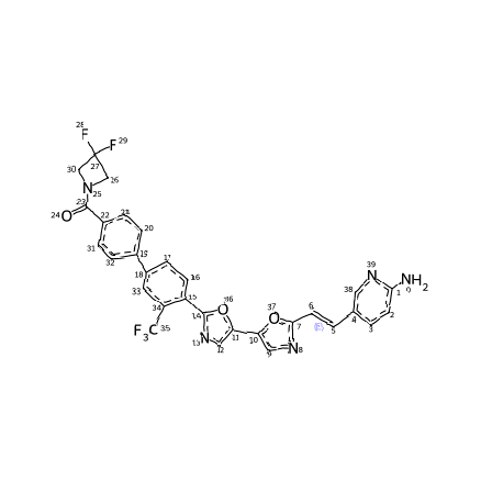 Nc1ccc(/C=C/c2ncc(-c3cnc(-c4ccc(-c5ccc(C(=O)N6CC(F)(F)C6)cc5)cc4C(F)(F)F)o3)o2)cn1